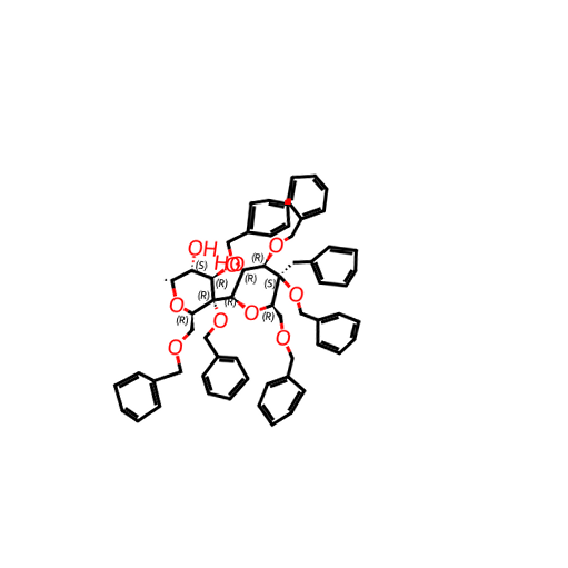 O[C@@H]1[C@@H](OCc2ccccc2)[C@@](Cc2ccccc2)(OCc2ccccc2)[C@@H](COCc2ccccc2)O[C@H]1[C@]1(OCc2ccccc2)[C@H](OCc2ccccc2)[C@@H](O)[CH]O[C@@H]1COCc1ccccc1